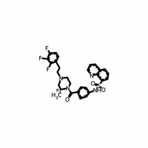 C[C@@H]1CN(CCc2ccc(F)c(F)c2F)CCN1C(=O)c1ccc(NS(=O)(=O)c2cccc3cccnc23)cc1